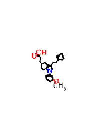 COc1cccc(-n2cc(CCc3ccccc3)c3cc(CCC(=O)O)ccc32)c1